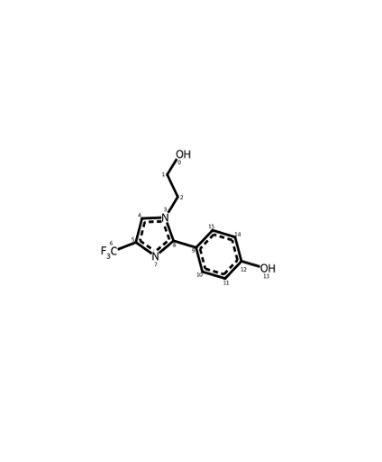 OCCn1cc(C(F)(F)F)nc1-c1ccc(O)cc1